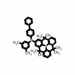 Cc1cc(C)cc(N(c2ccc(-c3ccccc3)cc2)c2cc3c4c(c2)C(C)(C)c2cccc5c2N4C2=C(C=CCC2C5(C)C)C3(C)C)c1